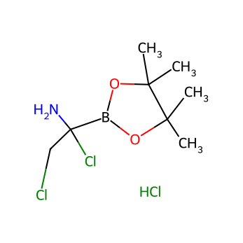 CC1(C)OB(C(N)(Cl)CCl)OC1(C)C.Cl